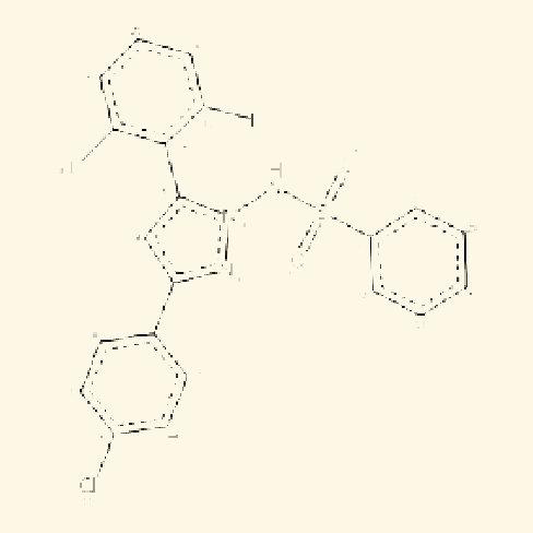 O=S(=O)(Nn1nc(-c2ccc(Cl)cc2)cc1-c1c(F)cccc1F)c1ccccc1